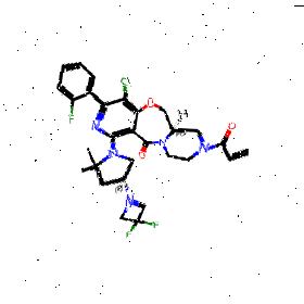 C=CC(=O)N1CCN2C(=O)c3c(N4C[C@H](N5CC(F)(F)C5)CC4(C)C)nc(-c4ccccc4F)c(Cl)c3OC[C@H]2C1